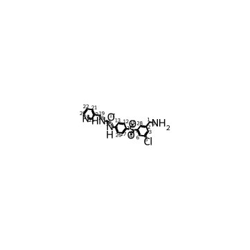 NCc1cc(Cl)cc(S(=O)(=O)c2ccc(NC(=O)NCc3cccnc3)cc2)c1